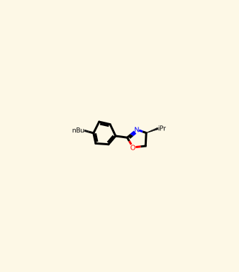 CCCCc1ccc(C2=N[C@@H](C(C)C)CO2)cc1